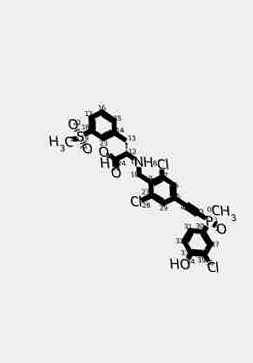 CP(=O)(C#Cc1cc(Cl)c(CN[C@@H](Cc2cccc(S(C)(=O)=O)c2)C(=O)O)c(Cl)c1)c1ccc(O)c(Cl)c1